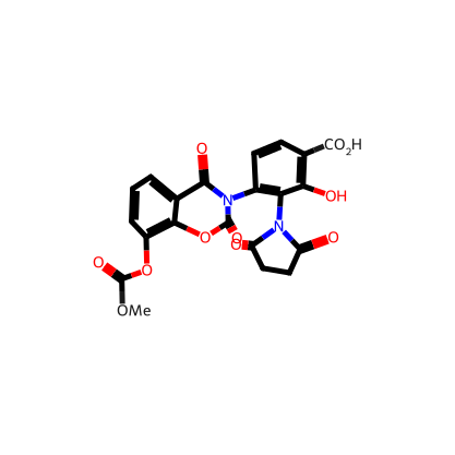 COC(=O)Oc1cccc2c(=O)n(-c3ccc(C(=O)O)c(O)c3N3C(=O)CCC3=O)c(=O)oc12